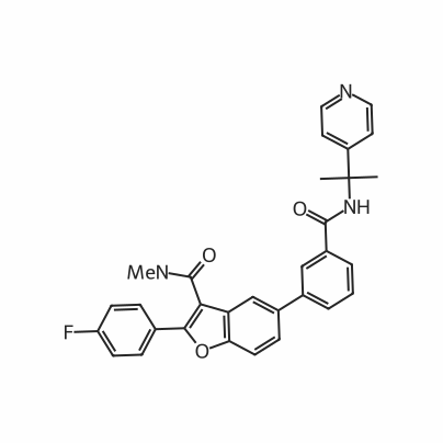 CNC(=O)c1c(-c2ccc(F)cc2)oc2ccc(-c3cccc(C(=O)NC(C)(C)c4ccncc4)c3)cc12